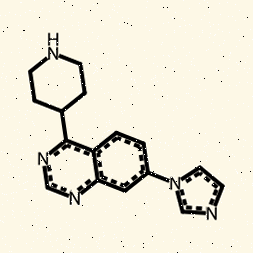 c1cn(-c2ccc3c(C4CCNCC4)ncnc3c2)cn1